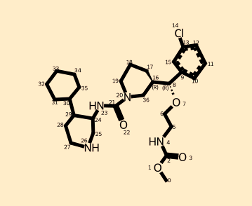 COC(=O)NCCO[C@@H](c1cccc(Cl)c1)[C@@H]1CCCN(C(=O)NC2CNCCC2C2CCCCC2)C1